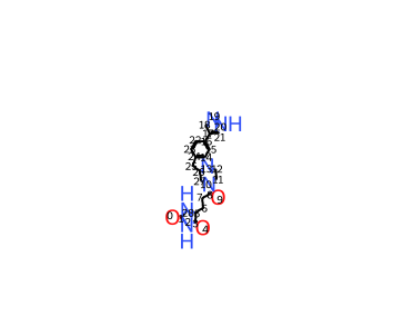 O=C1NC(=O)C(CCC(=O)N2CCN3c4cc(-c5cn[nH]c5)ccc4CC3C2)N1